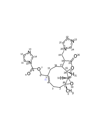 C[C@@]12CC/C=C(/COC(=O)n3ccnc3)CCC3C(Cn4ccnc4)C(=O)O[C@@H]3[C@@H]1O2